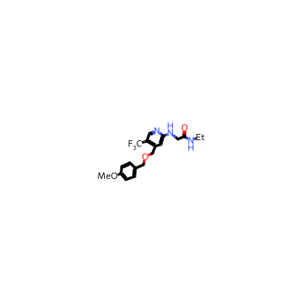 CCNC(=O)CNc1cc(COCc2ccc(OC)cc2)c(C(F)(F)F)cn1